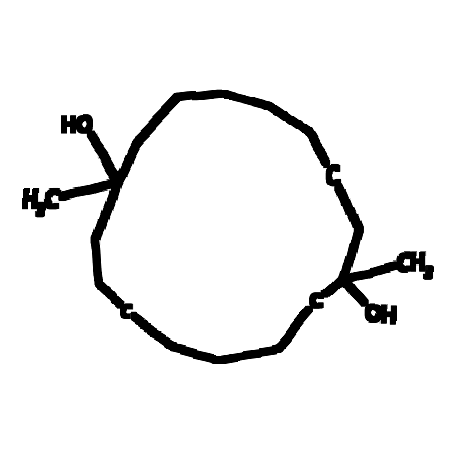 CC1(O)CCCCCCCC(C)(O)CCCCCCC1